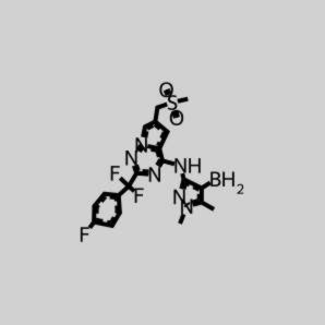 Bc1c(Nc2nc(C(F)(F)c3ccc(F)cc3)nn3cc(CS(C)(=O)=O)cc23)nn(C)c1C